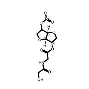 O=C(CO)NCC(=O)O[C@@H]1CO[C@@H]2C(O[N+](=O)[O-])CO[C@@H]21